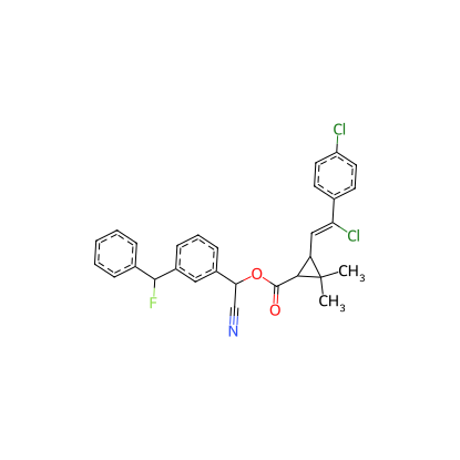 CC1(C)C(C=C(Cl)c2ccc(Cl)cc2)C1C(=O)OC(C#N)c1cccc(C(F)c2ccccc2)c1